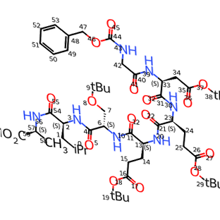 CC(C)C[C@H](NC(=O)[C@H](COC(C)(C)C)NC(=O)[C@H](CCC(=O)OC(C)(C)C)NC(=O)[C@H](CCC(=O)OC(C)(C)C)NC(=O)[C@H](CC(=O)OC(C)(C)C)NC(=O)CNC(=O)OCc1ccccc1)C(=O)N[C@@H](C)C(=O)O